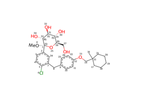 CO[C@@]1(c2ccc(Cl)c(Cc3ccc(OCC4(C)CCCCC4)cc3)c2)O[C@H](CO)[C@@H](O)[C@H](O)[C@H]1O